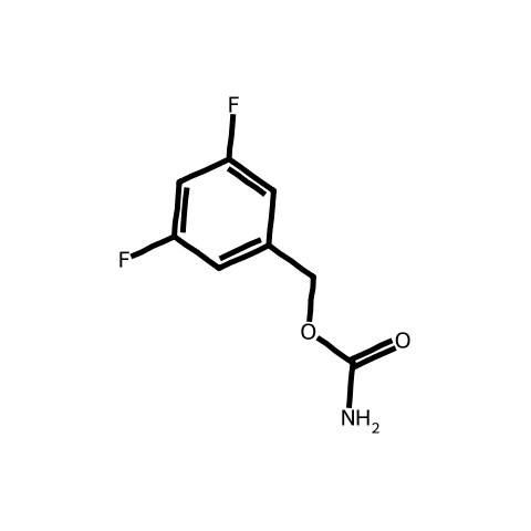 NC(=O)OCc1cc(F)cc(F)c1